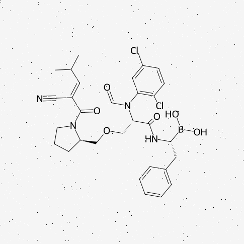 CC(C)C=C(C#N)C(=O)N1CCC[C@@H]1COC[C@@H](C(=O)N[C@@H](Cc1ccccc1)B(O)O)N(C=O)c1cc(Cl)ccc1Cl